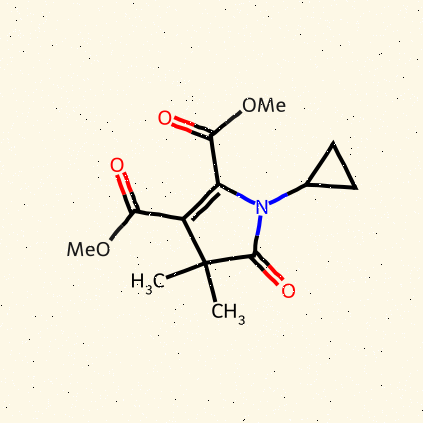 COC(=O)C1=C(C(=O)OC)C(C)(C)C(=O)N1C1CC1